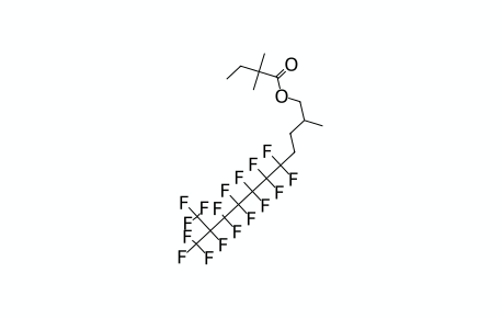 CCC(C)(C)C(=O)OCC(C)CCC(F)(F)C(F)(F)C(F)(F)C(F)(F)C(F)(F)C(F)(C(F)(F)F)C(F)(F)F